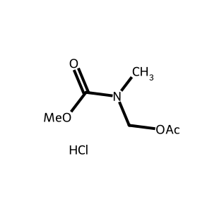 COC(=O)N(C)COC(C)=O.Cl